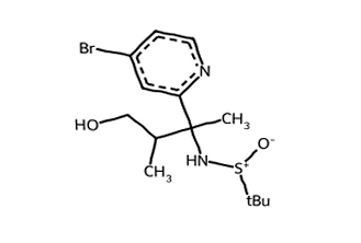 CC(CO)C(C)(N[S+]([O-])C(C)(C)C)c1cc(Br)ccn1